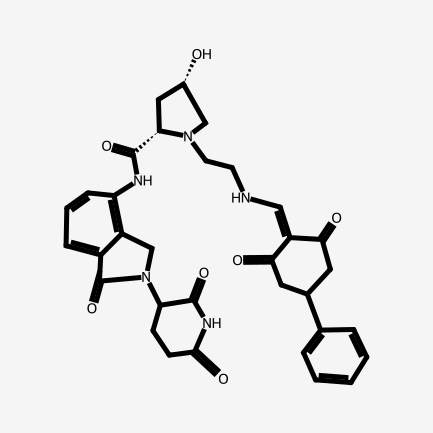 O=C1CCC(N2Cc3c(NC(=O)[C@@H]4C[C@H](O)CN4CCNC=C4C(=O)CC(c5ccccc5)CC4=O)cccc3C2=O)C(=O)N1